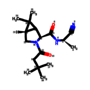 C[C@@H](C#N)NC(=O)[C@@H]1C2[C@H](CN1C(=O)CC(C)(C)C)C2(C)C